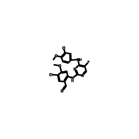 COc1ccc(Nc2nc(Nc3cc(OC)c(Cl)cc3C=O)ncc2F)cc1Cl